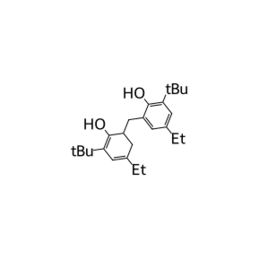 CCC1=CC(C(C)(C)C)=C(O)C(Cc2cc(CC)cc(C(C)(C)C)c2O)C1